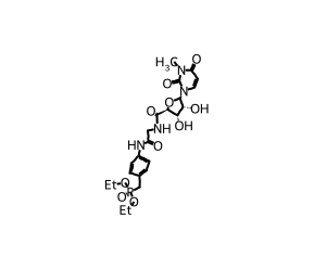 CCOP(=O)(Cc1ccc(NC(=O)CNC(=O)[C@H]2O[C@@H](n3ccc(=O)n(C)c3=O)[C@H](O)[C@@H]2O)cc1)OCC